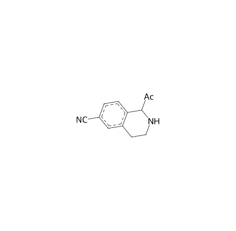 CC(=O)C1NCCc2cc(C#N)ccc21